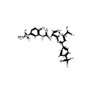 NS(=O)(=O)c1ccc(Cl)c(NC(=O)Oc2cnn3c(C(F)F)cc(-c4ccc(C(F)(F)F)cc4)nc23)c1